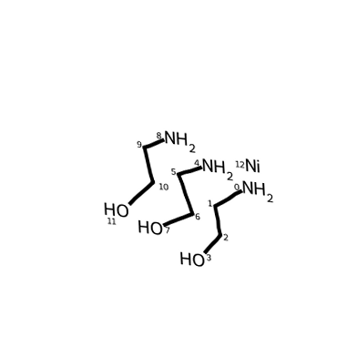 NCCO.NCCO.NCCO.[Ni]